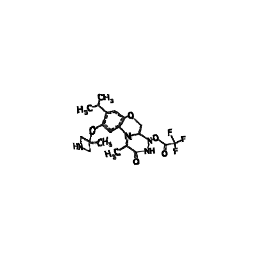 CC(C)c1cc2c(cc1OC1(C)CNC1)N1C(C)C(=O)NN(OC(=O)C(F)(F)F)C1CO2